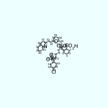 O=C(O)c1ccccc1N(CCCCN(c1ccc(Cl)cc1)[SH](=O)=O)S(=O)(=O)Cc1cccc(C=Cc2ccc3ccccc3n2)c1